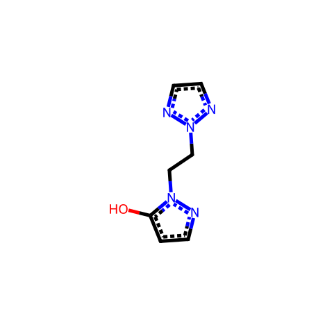 Oc1ccnn1CCn1nccn1